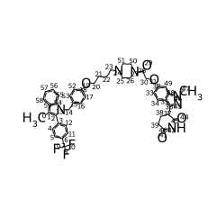 Cc1c(-c2ccc(C(F)(F)F)cc2)n(Cc2ccc(OCCCCN3CCN(C(=O)COc4ccc5c(C6CCC(=O)NC6=O)nn(C)c5c4)CC3)cc2)c2ccccc12